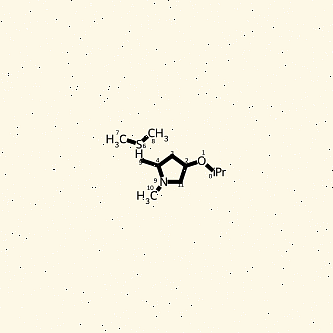 CC(C)OC1CC(C[SH](C)C)N(C)C1